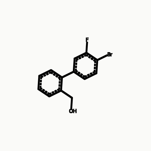 OCc1ccccc1-c1ccc(Br)c(F)c1